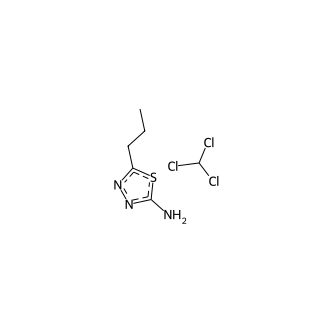 CCCc1nnc(N)s1.ClC(Cl)Cl